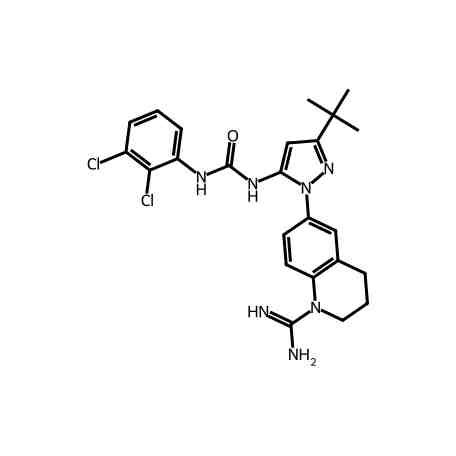 CC(C)(C)c1cc(NC(=O)Nc2cccc(Cl)c2Cl)n(-c2ccc3c(c2)CCCN3C(=N)N)n1